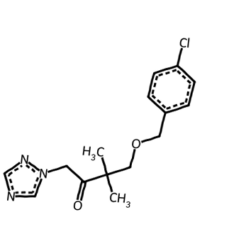 CC(C)(COCc1ccc(Cl)cc1)C(=O)Cn1cncn1